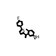 C=C(c1ccc(-c2ccc(F)cc2)s1)c1cc(BC)ccc1C